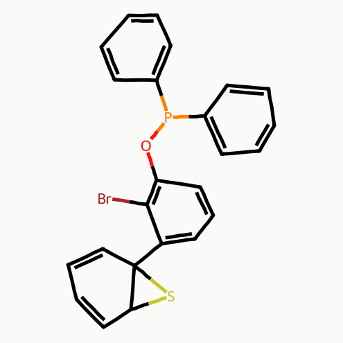 Brc1c(OP(c2ccccc2)c2ccccc2)cccc1C12C=CC=CC1S2